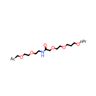 CCCOCCCOCCOCC(=O)NCCOCCOCC(C)=O